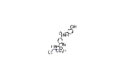 CC/C=C(/NC(=O)c1ccc(C(=O)NCc2cccc(O)c2)cc1Br)C(=O)O